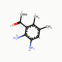 COC(=O)c1c(C)c(C)cc(N)c1N